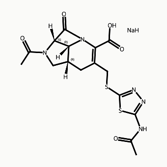 CC(=O)Nc1nnc(SCC2=C(C(=O)O)N3C(=O)[C@@H]4[C@H]3[C@H](C2)CN4C(C)=O)s1.[NaH]